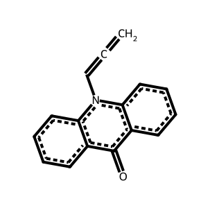 C=C=Cn1c2ccccc2c(=O)c2ccccc21